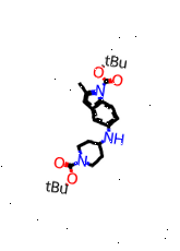 Cc1cc2cc(NC3CCN(C(=O)OC(C)(C)C)CC3)ccc2n1C(=O)OC(C)(C)C